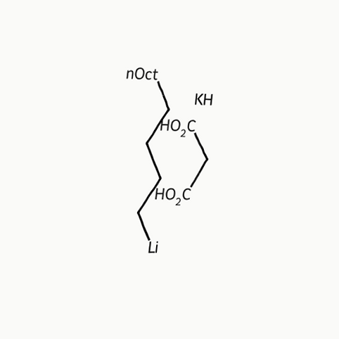 O=C(O)CC(=O)O.[KH].[Li][CH2]CCCCCCCCCCC